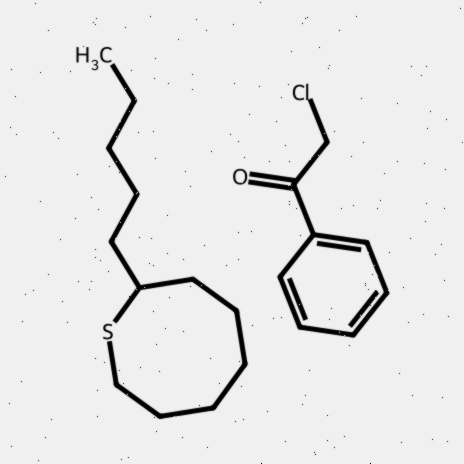 CCCCCC1CCCCCCS1.O=C(CCl)c1ccccc1